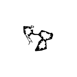 c1ccc2c(-c3[nH]ccp3)cccc2c1